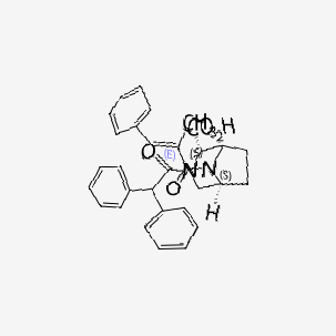 C/C(=C\c1ccccc1)C(=O)N1C2CC[C@H]1CN(C(=O)C(c1ccccc1)c1ccccc1)[C@@H]2C(=O)O